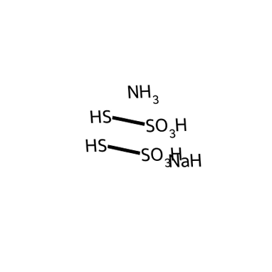 N.O=S(=O)(O)S.O=S(=O)(O)S.[NaH]